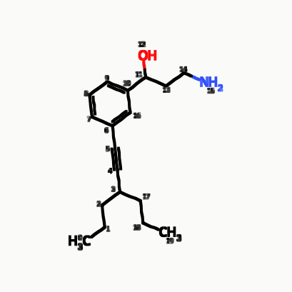 CCCC(C#Cc1cccc(C(O)CCN)c1)CCC